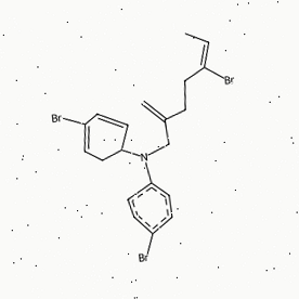 C=C(CC/C(Br)=C\C)CN(c1ccc(Br)cc1)C1C=CC(Br)=CC1